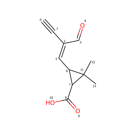 C#CC(C=O)=CC1C(C(=O)O)C1(C)C